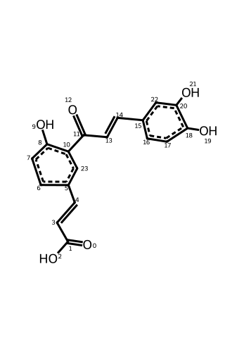 O=C(O)C=Cc1ccc(O)c(C(=O)C=Cc2ccc(O)c(O)c2)c1